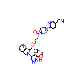 Cc1c(N2Cc3cccnc3C2COCCCC(=O)N2CCN(c3ccc(C#N)cn3)CC2)cn[nH]c1=O